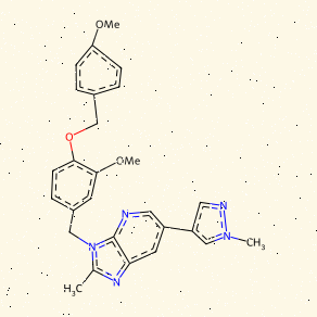 COc1ccc(COc2ccc(Cn3c(C)nc4cc(-c5cnn(C)c5)cnc43)cc2OC)cc1